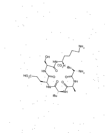 CC[C@H](C)[C@H](N)C(=O)N[C@@H](C)C(=O)N[C@H](C(=O)N[C@@H](CCC(=O)O)C(=O)N[C@@H](CO)C(=O)N[C@@H](CCCCN)C(=O)O)[C@@H](C)CC